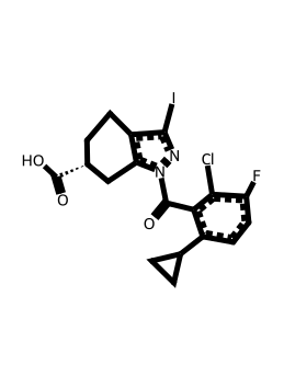 O=C(O)[C@@H]1CCc2c(I)nn(C(=O)c3c(C4CC4)ccc(F)c3Cl)c2C1